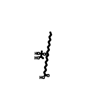 CC(O)C(C)(O)O.CCCCCCCCCCCCCCCCCC(=O)O